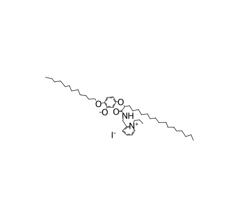 CCCCCCCCCCCCCCCCC(Oc1ccc(OCCCCCCCCCCCC)c(OC)c1)C(=O)NCc1cccc[n+]1CCC.[I-]